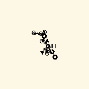 COCCCOc1cc(C(=O)N(C[C@@H]2CNC[C@H]2CN(C(=O)ON2CC[C@H](c3ccccc3)C2)C2CC2)C(C)C)ccc1OC